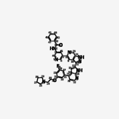 O=C(Nc1cncc(-c2cc3c(-c4cc5c(-c6cc(F)cc(OCCN7CCCC7)c6)ccnc5[nH]4)n[nH]c3cn2)c1)c1ccccc1